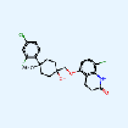 COC1(c2ccc(Cl)cc2F)CCC(O)(COc2ccc(F)c3c2CCC(=O)N3)CC1